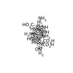 CC(C)C[C@H](N)C(=O)N[C@@H](C)C(=O)N[C@@H](CCCCN)C(=O)N[C@@H](CCC(=O)O)C(=O)N[C@@H](CC(N)=O)C(=O)N[C@H](C(=O)N[C@H](C(=O)N[C@@H](CCC(N)=O)C(=O)N[C@@H](CC(=O)O)C(=O)O)[C@@H](C)O)C(C)C